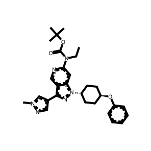 CCN(C(=O)OC(C)(C)C)c1cc2c(cn1)c(-c1cnn(C)c1)nn2[C@H]1CC[C@H](Oc2ccccc2)CC1